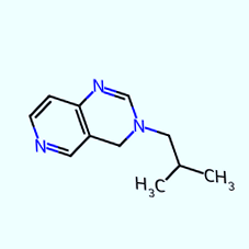 CC(C)CN1C=Nc2ccncc2C1